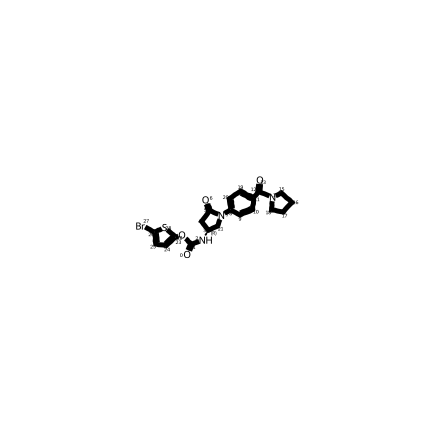 O=C(N[C@@H]1CC(=O)N(c2ccc(C(=O)N3CCCC3)cc2)C1)Oc1ccc(Br)s1